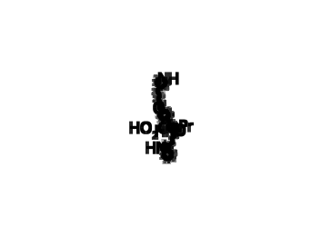 CCCP(=O)(CCCc1c[nH]c2ccccc12)NC(Cc1ccc(OCCCCC2CCNCC2)cc1)C(=O)O